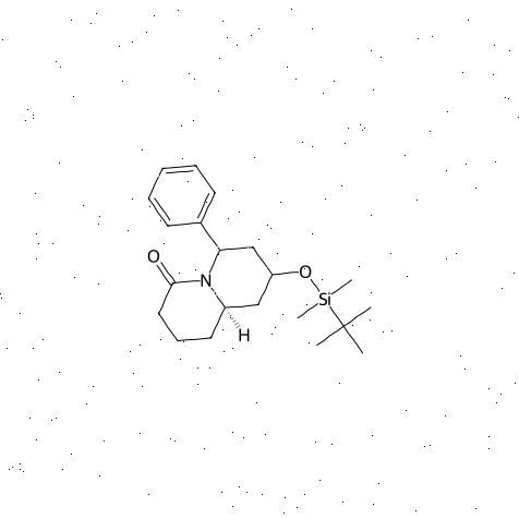 CC(C)(C)[Si](C)(C)OC1CC(c2ccccc2)N2C(=O)CCC[C@@H]2C1